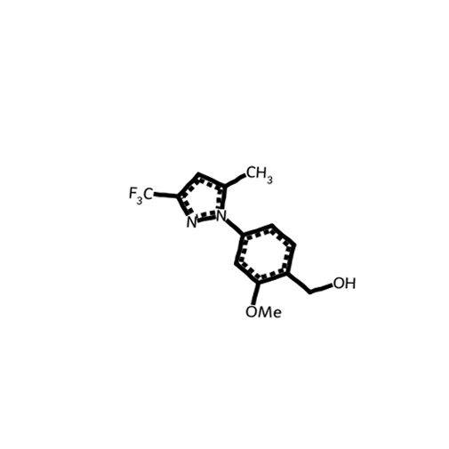 COc1cc(-n2nc(C(F)(F)F)cc2C)ccc1CO